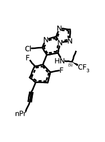 CCCC#Cc1cc(F)c(-c2c(Cl)nc3ncnn3c2N[C@@H](C)C(F)(F)F)c(F)c1